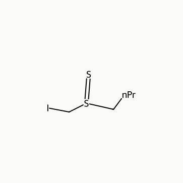 CCCCS(=S)CI